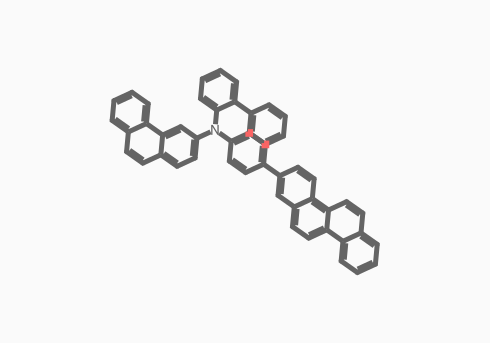 c1ccc(-c2ccccc2N(c2ccc(-c3ccc4c(ccc5c6ccccc6ccc45)c3)cc2)c2ccc3ccc4ccccc4c3c2)cc1